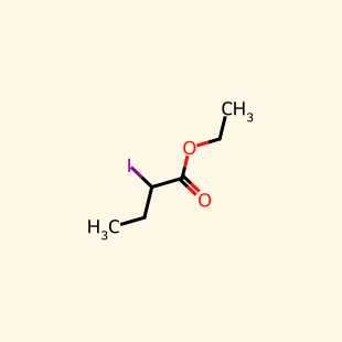 CCOC(=O)C(I)CC